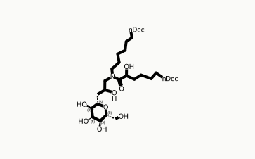 CCCCCCCCCCCCCCCCN(CC(O)C[C@@H]1O[C@H](CO)[C@@H](O)[C@H](O)[C@H]1O)C(=O)C(O)CCCCCCCCCCCCCC